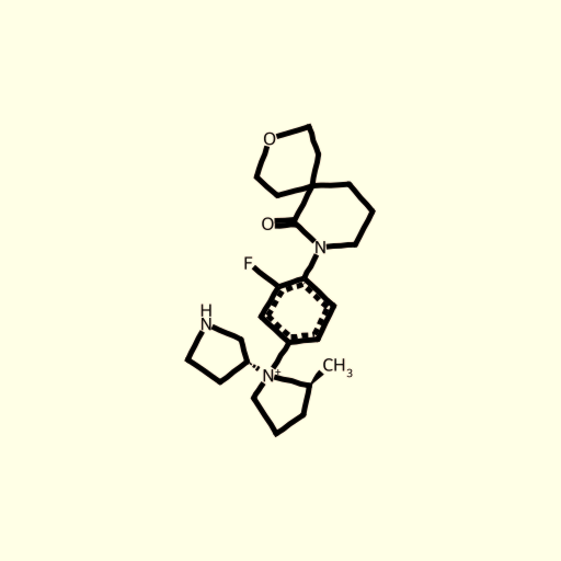 C[C@H]1CCC[N+]1(c1ccc(N2CCCC3(CCOCC3)C2=O)c(F)c1)[C@@H]1CCNC1